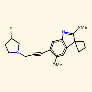 CNC1=Nc2cc(C#CCN3CCC(F)C3)c(OC)cc2C12CCC2